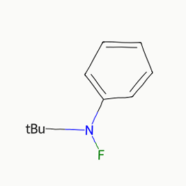 CC(C)(C)N(F)c1ccccc1